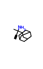 C#CC(C)(N)C12CC3CC(CC(C3)C1)C2